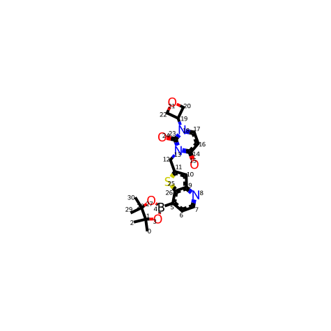 CC1(C)OB(c2ccnc3cc(Cn4c(=O)ccn(C5COC5)c4=O)sc23)OC1(C)C